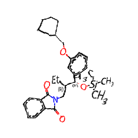 CC[C@H](CN1C(=O)c2ccccc2C1=O)[C@@H](O[Si](C)(C)C)c1cccc(OCC2CCCCC2)c1